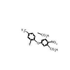 CC(=O)O.O=C(O)c1cc(Oc2ccc(C(F)(F)F)cc2F)ccc1[N+](=O)[O-]